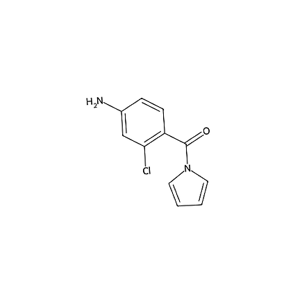 Nc1ccc(C(=O)n2cccc2)c(Cl)c1